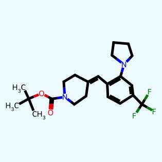 CC(C)(C)OC(=O)N1CCC(=Cc2ccc(C(F)(F)F)cc2N2CCCC2)CC1